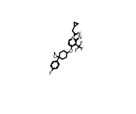 COC1(c2ccc(F)cc2)CCC(Oc2ccn3c(CC4CC4)nnc3c2C(F)(F)F)CC1